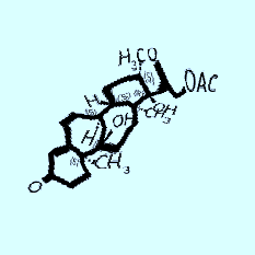 CC(=O)OCC(=O)[C@@]1(O)[C@@H](C)C[C@H]2[C@@H]3CCC4=CC(=O)CC[C@]4(C)[C@@]3(O)CC[C@@]21C